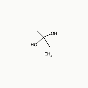 C.CC(C)(O)O